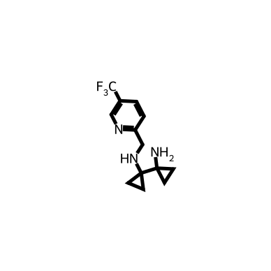 NC1(C2(NCc3ccc(C(F)(F)F)cn3)CC2)CC1